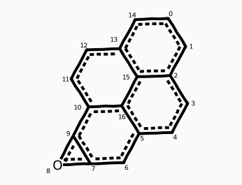 c1cc2ccc3cc4oc4c4ccc(c1)c2c34